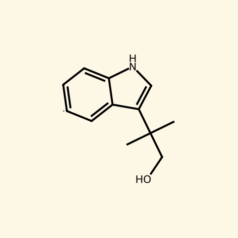 CC(C)(CO)c1c[nH]c2cc[c]cc12